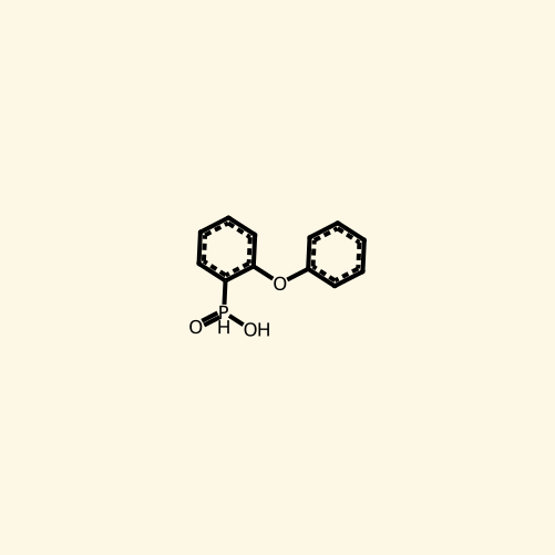 O=[PH](O)c1ccccc1Oc1ccccc1